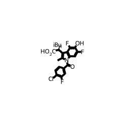 CC[C@H](C)C(C(=O)O)c1c(C)n(C(=O)c2ccc(Cl)c(F)c2)c2cc(F)c(O)c(F)c12